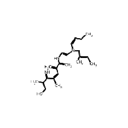 C=C(/C=C(/C)C(=N)C(C)CO)C(=C)N/C=C/N(/C=C\CC)C/C(C)=C/C